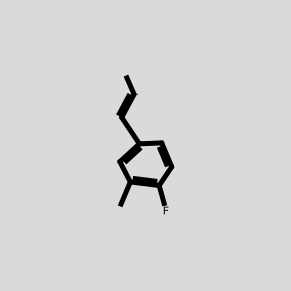 C[C]=Cc1ccc(F)c(C)c1